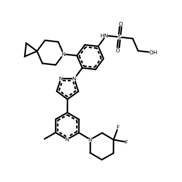 Cc1cc(-c2cnn(-c3ccc(NS(=O)(=O)CCO)cc3N3CCC4(CC3)CC4)c2)cc(N2CCCC(F)(F)C2)n1